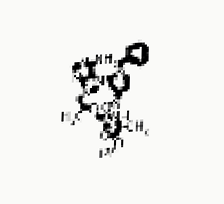 CC(C)OC(=O)[C@H](C)NP(=O)(CO[C@H](C)Cn1cnc2c(N)ncnc21)ON=C1CCN(Cc2ccccc2)CC1